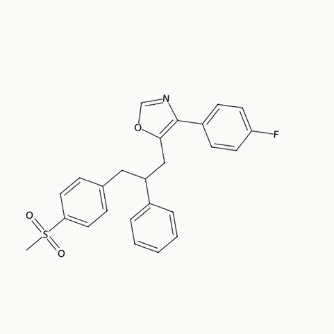 CS(=O)(=O)c1ccc(CC(Cc2ocnc2-c2ccc(F)cc2)c2ccccc2)cc1